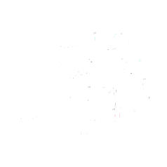 CCCSc1cccc2c1C(CC(=O)O)c1ccccc1C(F)(F)C2(F)F